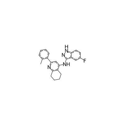 Cc1ccccc1-c1cc(Nc2n[nH]c3ccc(F)cc23)c2c(n1)CCCC2